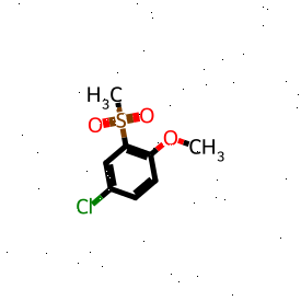 COc1ccc(Cl)cc1S(C)(=O)=O